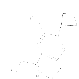 C=C(CC)c1cc(C)c(C2CCC2)cc1CC